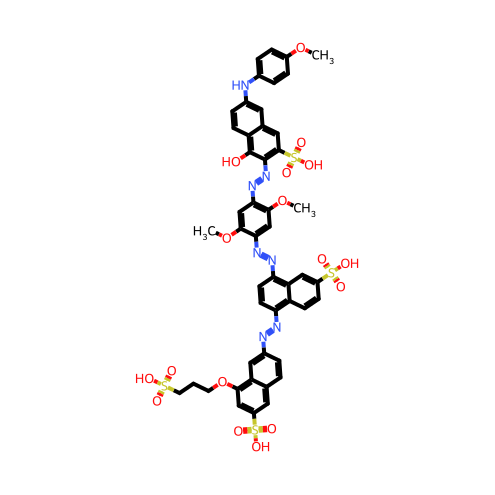 COc1ccc(Nc2ccc3c(O)c(N=Nc4cc(OC)c(N=Nc5ccc(N=Nc6ccc7cc(S(=O)(=O)O)cc(OCCCS(=O)(=O)O)c7c6)c6ccc(S(=O)(=O)O)cc56)cc4OC)c(S(=O)(=O)O)cc3c2)cc1